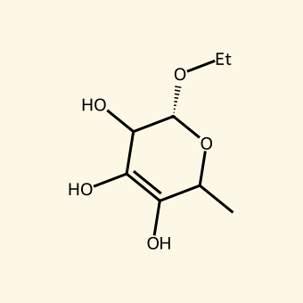 CCO[C@@H]1OC(C)C(O)=C(O)C1O